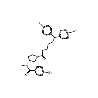 CN(C(=O)c1ccc(C(C)(C)C)cc1)[C@@H]1CCN(C(=O)CCCCC(c2ccc(F)cc2)c2ccc(F)cc2)C1